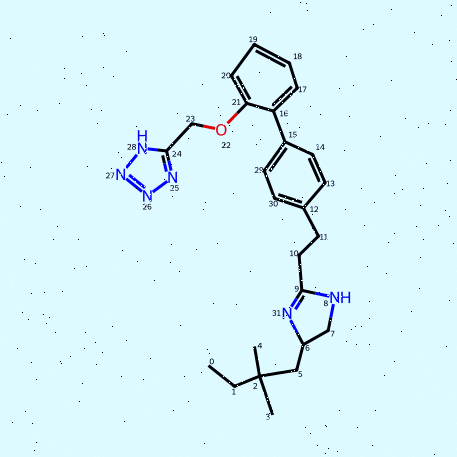 CCC(C)(C)CC1CNC(CCc2ccc(-c3ccccc3OCc3nnn[nH]3)cc2)=N1